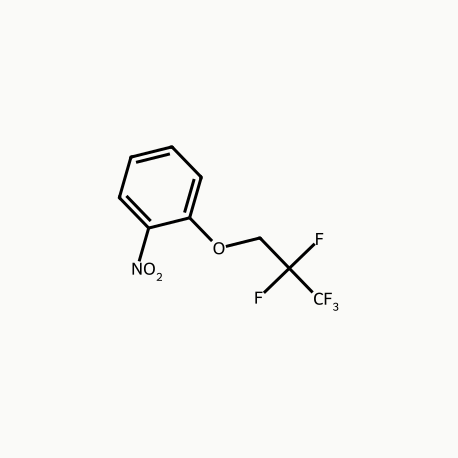 O=[N+]([O-])c1ccccc1OCC(F)(F)C(F)(F)F